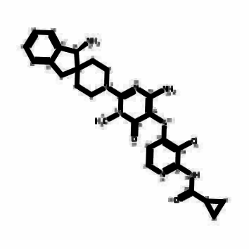 Cn1c(N2CCC3(CC2)Cc2ccccc2[C@H]3N)nc(N)c(Sc2ccnc(NC(=O)C3CC3)c2Cl)c1=O